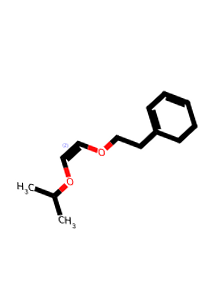 CC(C)O/C=C\OCCC1=CC=CCC1